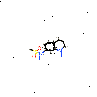 CS(=O)(=O)Nc1ccc2c(c1)NCCC2